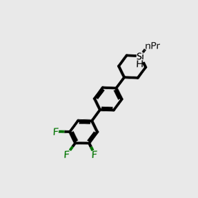 CCC[SiH]1CCC(c2ccc(-c3cc(F)c(F)c(F)c3)cc2)CC1